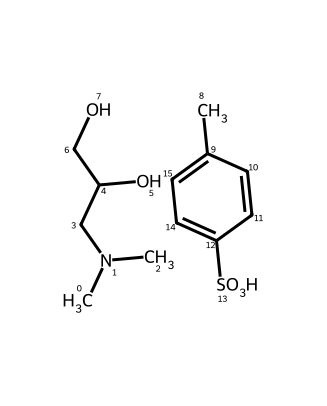 CN(C)CC(O)CO.Cc1ccc(S(=O)(=O)O)cc1